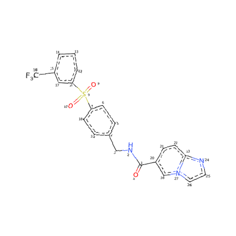 O=C(NCc1ccc(S(=O)(=O)c2cccc(C(F)(F)F)c2)cc1)c1ccc2nccn2c1